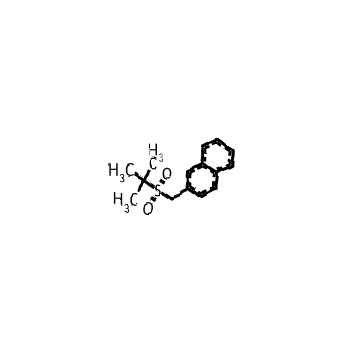 CC(C)(C)S(=O)(=O)Cc1ccc2ccccc2c1